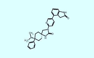 CN(C)[C@]1(c2ccccc2)CC[C@]2(CC1)CN(c1ccc(-c3cccc4c3CC(=O)N4)cn1)C(=O)N2